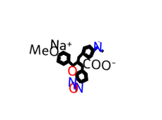 COc1ccc(C(=O)C(Cc2ccc(N(C)C)cc2)=C(C(=O)[O-])c2ccc3nonc3c2)cc1.[Na+]